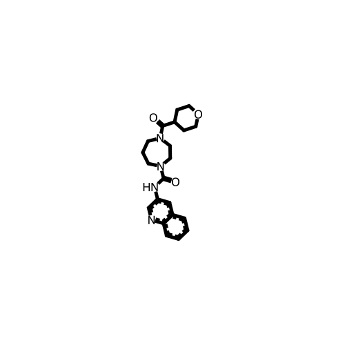 O=C(Nc1cnc2ccccc2c1)N1CCCN(C(=O)C2CCOCC2)CC1